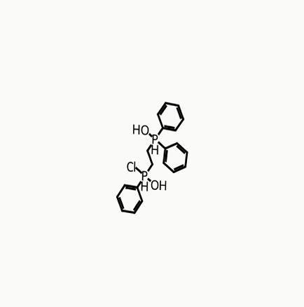 O[PH](Cl)(CC[PH](O)(c1ccccc1)c1ccccc1)c1ccccc1